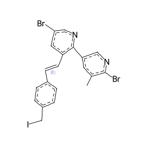 Cc1cc(-c2ncc(Br)cc2/C=C/c2ccc(CI)cc2)cnc1Br